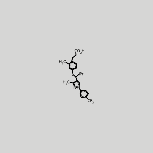 Cc1cc(SC(c2cn(-c3ccc(C(F)(F)F)cc3)nc2C)C(C)C)ccc1CCC(=O)O